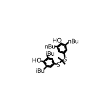 CCCCc1cc(SC(C)(C)Sc2cc(C(C)CC)c(O)c(C(C)CC)c2)cc(CCCC)c1O